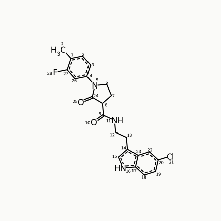 Cc1ccc(N2CCC(C(=O)NCCc3c[nH]c4ccc(Cl)cc34)C2=O)cc1F